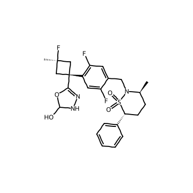 C[C@H]1CC[C@H](c2ccccc2)S(=O)(=O)N1Cc1cc(F)c([C@]2(C3=NNC(O)O3)C[C@](C)(F)C2)cc1F